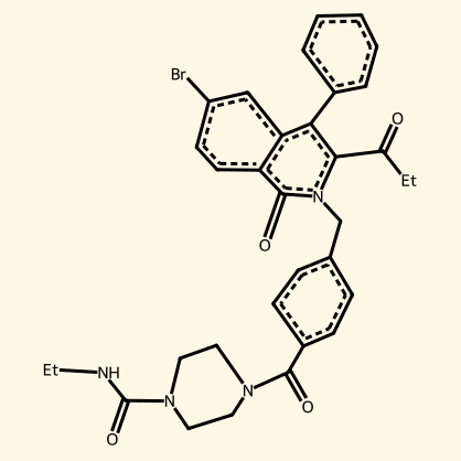 CCNC(=O)N1CCN(C(=O)c2ccc(Cn3c(C(=O)CC)c(-c4ccccc4)c4cc(Br)ccc4c3=O)cc2)CC1